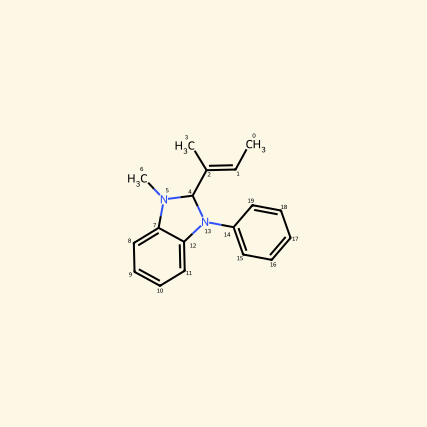 C/C=C(\C)C1N(C)c2ccccc2N1c1ccccc1